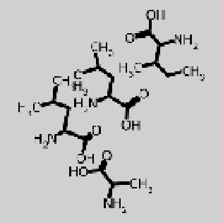 CC(C)CC(N)C(=O)O.CC(C)CC(N)C(=O)O.CC(N)C(=O)O.CCC(C)C(N)C(=O)O